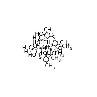 Cc1cc(Sc2cc(C)c(O)c(C(C)(C)C)c2)cc(C(C)(C)C)c1O.Cc1cc(Sc2cc(C)cc(C(C)(C)C)c2O)c(O)c(C(C)(C)C)c1